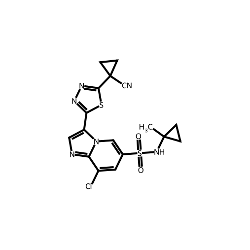 CC1(NS(=O)(=O)c2cc(Cl)c3ncc(-c4nnc(C5(C#N)CC5)s4)n3c2)CC1